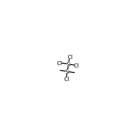 C[Si](C)(Cl)[Si](Cl)(Cl)Cl